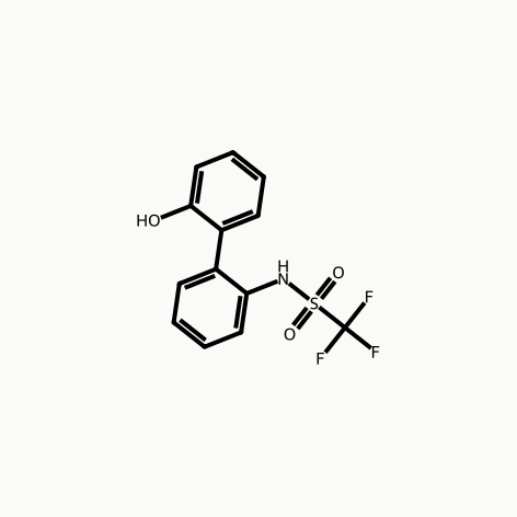 O=S(=O)(Nc1ccccc1-c1ccccc1O)C(F)(F)F